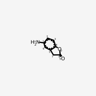 Nc1ccc2c(c1)CC(=O)O2